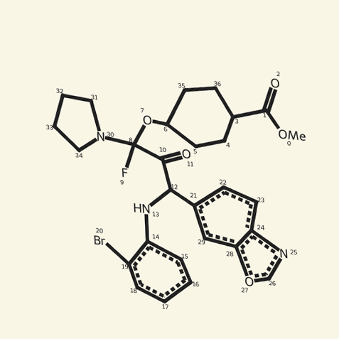 COC(=O)C1CCC(OC(F)(C(=O)C(Nc2ccccc2Br)c2ccc3ncoc3c2)N2CCCC2)CC1